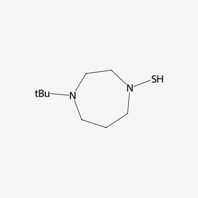 CC(C)(C)N1CCCN(S)CC1